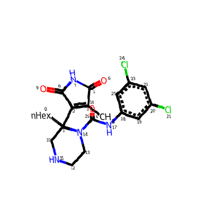 CCCCCCC1(C2=C(C)C(=O)NC2=O)CNCCN1C(=O)Nc1cc(Cl)cc(Cl)c1